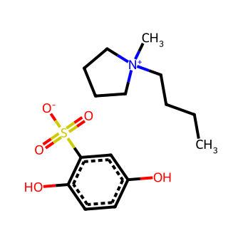 CCCC[N+]1(C)CCCC1.O=S(=O)([O-])c1cc(O)ccc1O